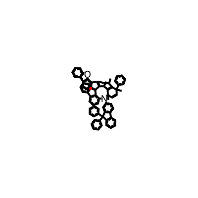 CC1C2=C3C(C)C4=C1C(C)(c1ccccc1)C=CC4(C)N(c1ccc4c(c1)C(c1ccccc1)(c1ccccc1)c1ccccc1-4)c1cccc4c1C3(c1ccccc1-4)c1ccc3c(oc4ccccc43)c12